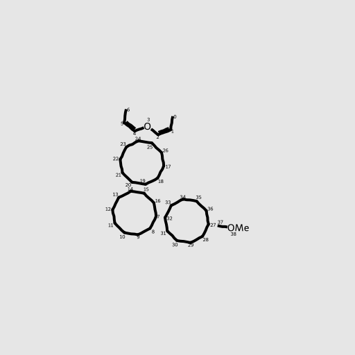 C/C=C\O/C=C\C.C1CCCCCCCCC1.C1CCCCCCCCC1.C1CCCCCCCCC1.COC